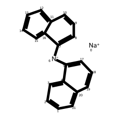 [Na+].c1ccc2c([N-]c3cccc4ccccc34)cccc2c1